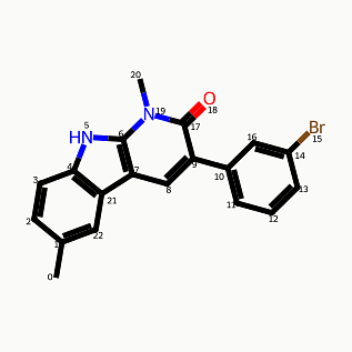 Cc1ccc2[nH]c3c(cc(-c4cccc(Br)c4)c(=O)n3C)c2c1